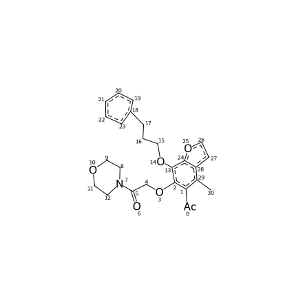 CC(=O)c1c(OCC(=O)N2CCOCC2)c(OCCCc2ccccc2)c2occc2c1C